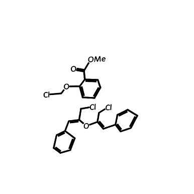 COC(=O)c1ccccc1OCCl.ClCC(=Cc1ccccc1)OC(=Cc1ccccc1)CCl